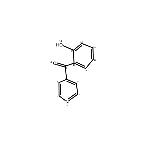 O=C(c1ccncc1)c1ccccc1O